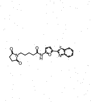 O=C(CCCCN1C(=O)CCC1=O)Nc1ccc(-c2nc3ccccc3s2)o1